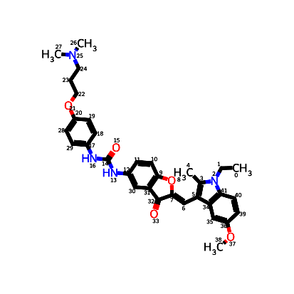 CCn1c(C)c(C=C2Oc3ccc(NC(=O)Nc4ccc(OCCCN(C)C)cc4)cc3C2=O)c2cc(OC)ccc21